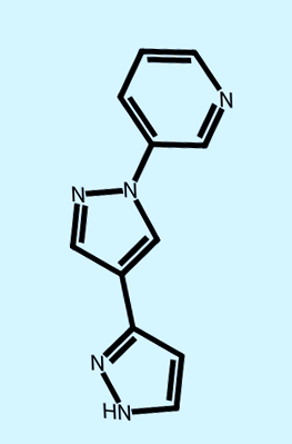 c1cncc(-n2cc(-c3cc[nH]n3)cn2)c1